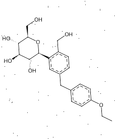 CCOc1ccc(Cc2ccc(CO)c([C@@H]3O[C@H](CO)[C@@H](O)[C@H](O)[C@H]3O)c2)cc1